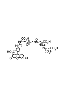 O=C(O)CC[C@H](NC(=O)N[C@@H](CCC(=O)NCCNC(=O)CC[C@H](NC(=S)Nc1ccc(-c2c3ccc(=O)cc-3oc3cc(O)ccc23)c(C(=O)O)c1)C(=O)O)C(=O)O)C(=O)O